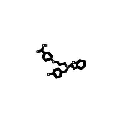 O=C(O)c1ccc(OCCCN(Cc2ccc(Cl)cc2)c2nc3ccccc3o2)cc1